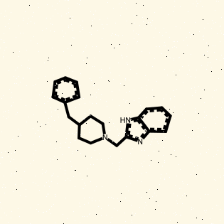 c1ccc(CC2CCN(Cc3nc4ccccc4[nH]3)CC2)cc1